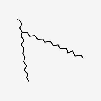 [CH2]CCC(CCCCCCCCCCCC)CCCCCCCCCCCCCCCC